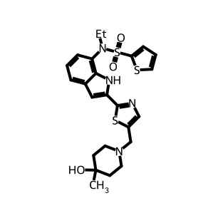 CCN(c1cccc2cc(-c3ncc(CN4CCC(C)(O)CC4)s3)[nH]c12)S(=O)(=O)c1cccs1